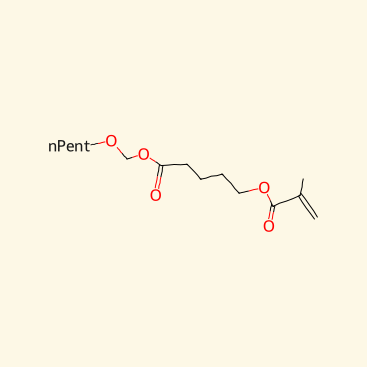 C=C(C)C(=O)OCCCCC(=O)OCOCCCCC